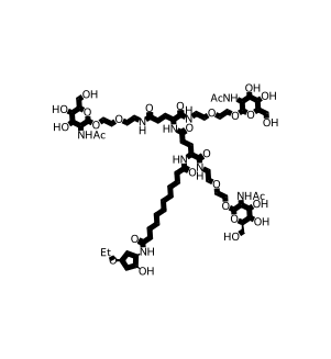 CCO[C@@H]1C[C@@H](O)[C@@H](NC(=O)CCCCCCCCCCC(=O)NC(CCC(=O)NC(CCC(=O)NCCOCCOC2OC(CO)C(O)C(O)C2NC(C)=O)C(=O)NCCOCCOC2OC(CO)C(O)C(O)C2NC(C)=O)C(=O)NCCOCCOC2O[C@H](CO)C(O)C(O)C2NC(C)=O)C1